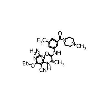 CCOc1nc(N)nc(N[C@@H](C)C(=O)Nc2cc(C(=O)N3CCN(C)CC3)cc(C(F)(F)F)c2)c1C#N